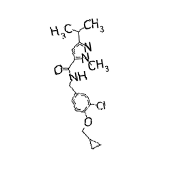 CC(C)c1cc(C(=O)NCc2ccc(OCC3CC3)c(Cl)c2)n(C)n1